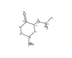 C[SiH](C)OC1CC(C(C)(C)C)CCC1=O